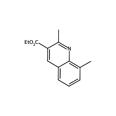 CCOC(=O)c1cc2cccc(C)c2nc1C